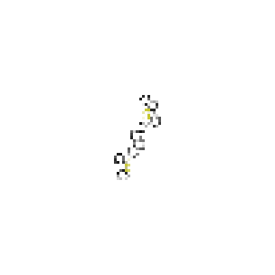 c1ccc2c(c1)ccc1c3cccc(-c4ccc5ccc6c7cc(-c8cccc9c8sc8ccccc89)ccc7ccc6c5c4)c3sc21